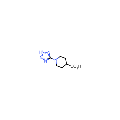 O=C(O)C1CCN(c2nn[nH]n2)CC1